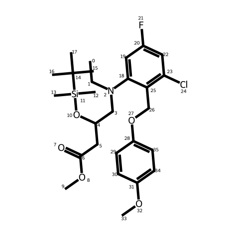 CCN(CC(CC(=O)OC)O[Si](C)(C)C(C)(C)C)c1cc(F)cc(Cl)c1COc1ccc(OC)cc1